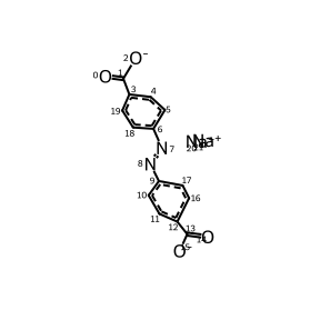 O=C([O-])c1ccc(N=Nc2ccc(C(=O)[O-])cc2)cc1.[Na+].[Na+]